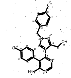 Nc1ncnc(-c2cn(Cc3ccc(C(F)(F)F)cc3)nc2CO)c1-c1ccc(Cl)cc1